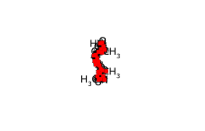 COc1cc(-c2cn(C)c(=O)c3cnccc23)ccc1OC1CCN(CC2CCN(C(=O)c3ccc(OC)c(-n4ccc(=O)[nH]c4=O)c3)CC2)CC1